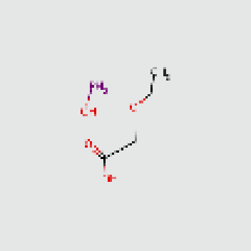 CCOCC(=O)O.OP